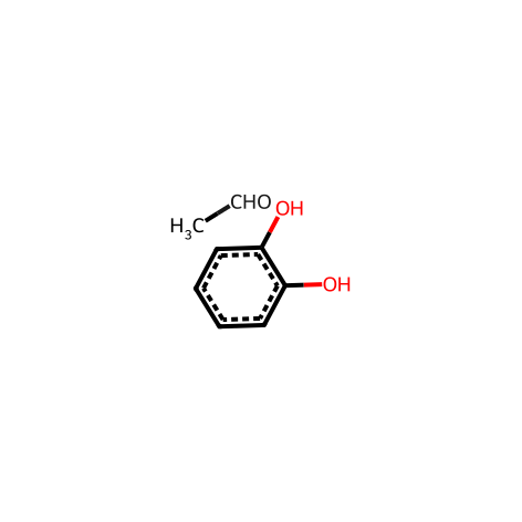 CC=O.Oc1ccccc1O